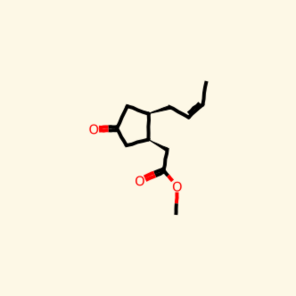 C/C=C\C[C@@H]1CC(=O)C[C@@H]1CC(=O)OC